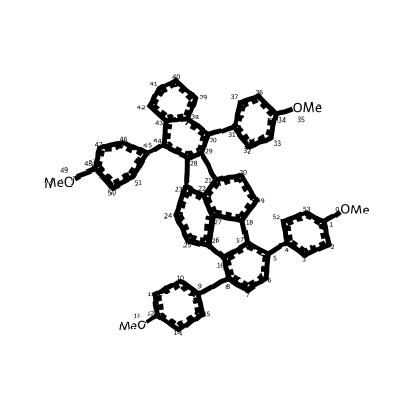 COc1ccc(-c2ccc(-c3ccc(OC)cc3)c3c2-c2ccc4c5c(ccc-3c25)-c2c-4c(-c3ccc(OC)cc3)c3ccccc3c2-c2ccc(OC)cc2)cc1